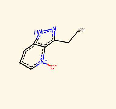 CC(C)Cc1n[nH]c2ccc[n+]([O-])c12